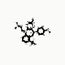 COc1ccc([C@H]2Cc3c(cccc3C(F)(F)F)N(CCN(C)C)C(=O)[C@H]2OC(C)=O)cc1